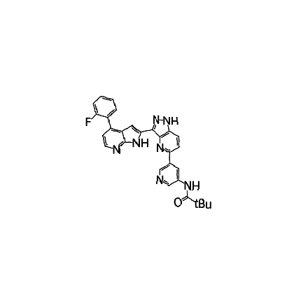 CC(C)(C)C(=O)Nc1cncc(-c2ccc3[nH]nc(-c4cc5c(-c6ccccc6F)ccnc5[nH]4)c3n2)c1